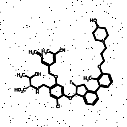 C=N/C=C(\C=C(/C)C#N)COc1cc(O[C@@H]2c3cccc(-c4cccc(OCCCN5CCC(O)CC5)c4C)c3C[C@@H]2F)c(Cl)cc1CN[C@H](C(=O)O)[C@@H](C)O